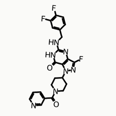 O=C(c1cccnc1)N1CCC(n2nc(F)c3nc(NCc4ccc(F)c(F)c4)[nH]c(=O)c32)CC1